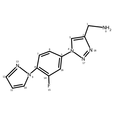 NCc1cn(-c2ccc(-n3cccn3)c(F)c2)nn1